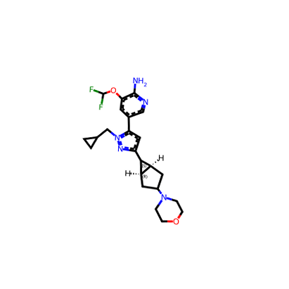 Nc1ncc(-c2cc(C3[C@H]4CC(N5CCOCC5)C[C@@H]34)nn2CC2CC2)cc1OC(F)F